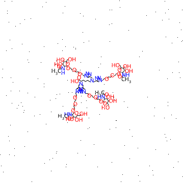 CC(=O)NC1C(OCCOCCOCCn2cc(CN(CCCCC(C(=O)O)N(Cc3cn(CCOCCOCCOC4OC(CO)C(O)C(O)C4NC(C)=O)nn3)Cc3cn(CCOCCOCCOC4OC(CO)C(O)C(O)C4NC(C)=O)nn3)Cc3cn(CCOCCOCCOC4OC(CO)C(O)C(O)C4NC(C)=O)nn3)nn2)OC(CO)C(O)C1O